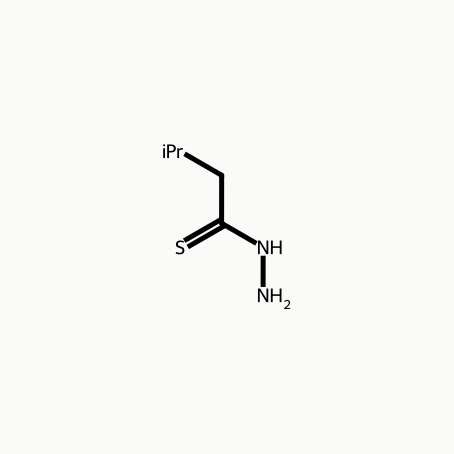 CC(C)CC(=S)NN